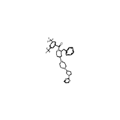 O=C(c1cc(C(F)(F)F)cc(C(F)(F)F)c1)N1CCC(N2CCN(C3CCN(c4ncccn4)C3)CC2)CC1Cc1ccccc1